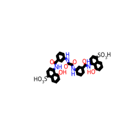 O=C(Nc1cccc(C(=O)Nc2ccc(S(=O)(=O)O)c3cccc(O)c23)c1)C(=O)Nc1cccc(C(=O)Nc2ccc(S(=O)(=O)O)c3cccc(O)c23)c1